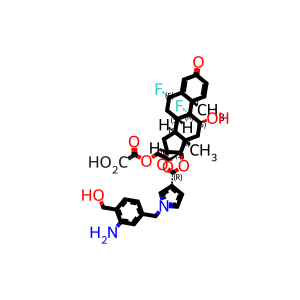 C[C@]12C=CC(=O)C=C1[C@@H](F)C[C@H]1[C@@H]3C[C@H]4O[C@@H](c5ccn(Cc6ccc(CO)c(N)c6)c5)O[C@@]4(C(=O)COC(=O)C(=O)O)[C@@]3(C)C[C@H](O)[C@@]12F